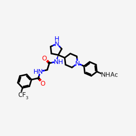 CC(=O)Nc1ccc(N2CCC([C@]3(NC(=O)CNC(=O)c4cccc(C(F)(F)F)c4)CCNC3)CC2)cc1